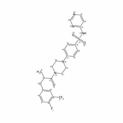 CC(Oc1ccc(F)c(C(F)(F)F)c1)C(=O)N1CCN(c2ccc(S(=O)(=O)Nc3ccncn3)cc2)CC1